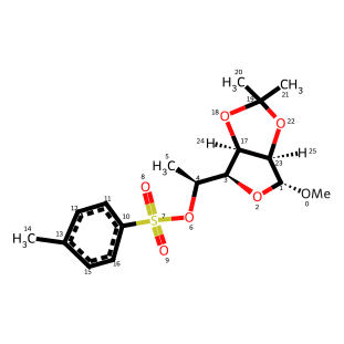 CO[C@@H]1O[C@@H]([C@H](C)OS(=O)(=O)c2ccc(C)cc2)[C@H]2OC(C)(C)O[C@@H]12